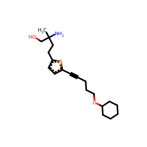 CC(N)(CO)CCc1ccc(C#CCCCOC2CCCCC2)s1